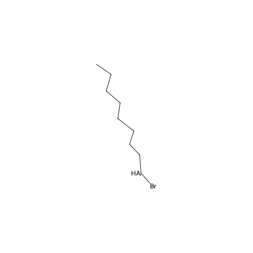 CCCCCCC[CH2][AlH][Br]